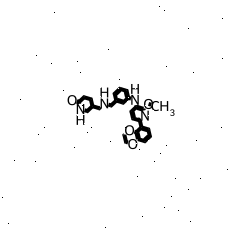 COc1nc(-c2cccc3c2OCCO3)ccc1Nc1cccc(CNCC2CCC(=O)NC2)c1